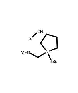 COC[N+]1(C(C)(C)C)CCCC1.N#C[S-]